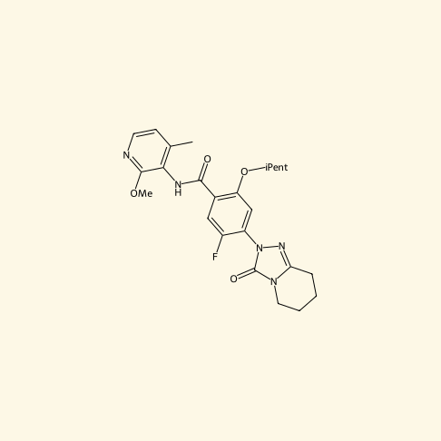 CCCC(C)Oc1cc(-n2nc3n(c2=O)CCCC3)c(F)cc1C(=O)Nc1c(C)ccnc1OC